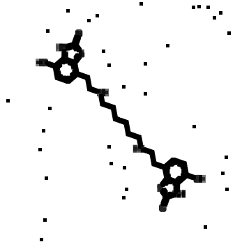 O=c1[nH]c2c(O)ccc(CCNCCCCCCNCCc3ccc(O)c4[nH]c(=O)sc34)c2s1